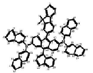 CC1(C)c2ccccc2-c2ccc(-c3c4c(c(-c5cccc6ccccc56)c5ccc(N(c6ccc7ccccc7c6)c6ccc7ccccc7c6)cc35)=CC(N(c3ccc5ccccc5c3)c3ccc5ccccc5c3)CC=4)cc21